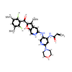 C=CC(=O)Nc1cc(N2CCOCC2)ncc1Nc1cc2c(NC)c(C(=O)c3c(F)c(OC)cc(OC)c3F)oc2cn1